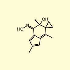 CC1=CC2=C(C)C3(CC3)[C@@](C)(O)/C(=N/O)C2=C1